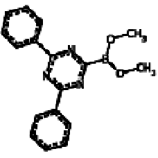 COB(OC)c1nc(-c2ccccc2)nc(-c2ccccc2)n1